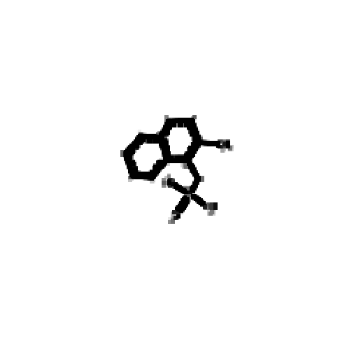 Cc1ccc2ccccc2c1CP(=O)(O)O